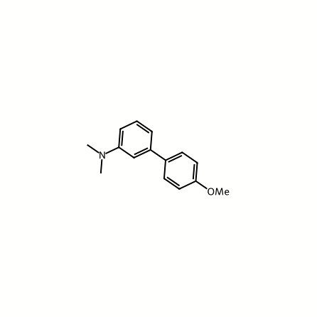 COc1ccc(-c2cccc(N(C)C)c2)cc1